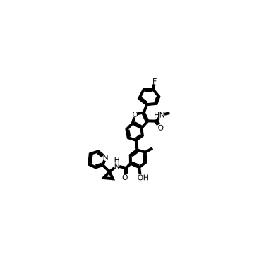 CNC(=O)c1c(-c2ccc(F)cc2)oc2ccc(-c3cc(C(=O)NC4(c5ccccn5)CC4)c(O)cc3C)cc12